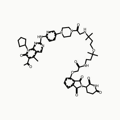 CC(=O)c1c(C)c2cnc(Nc3ccc(N4CCN(C(=O)CNC(C)(C)CCOC(C)(C)CCNC(=O)COc5cccc6c5C(=O)N(C5CCC(=O)NC5=O)C6=O)CC4)cn3)nc2n(C2CCCC2)c1=O